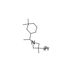 CC(C1CCCC(C)(C)C1)N1CC(C)(C(C)C)C1